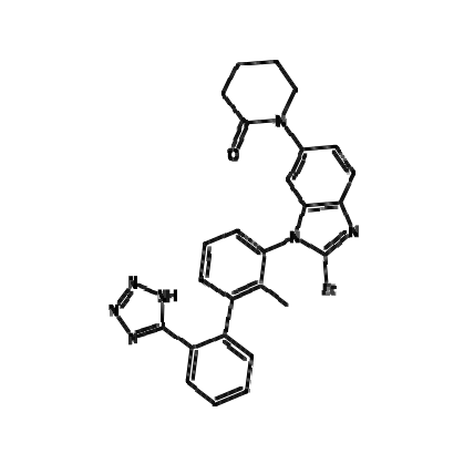 CCc1nc2ccc(N3CCCCC3=O)cc2n1-c1cccc(-c2ccccc2-c2nnn[nH]2)c1C